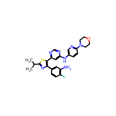 CC(C)c1nc(-c2ccc(F)c(N)c2)c(-c2cc(Nc3ccc(N4CCOCC4)nc3)ncn2)s1